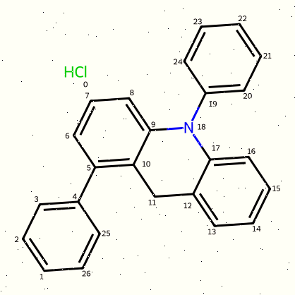 Cl.c1ccc(-c2cccc3c2Cc2ccccc2N3c2ccccc2)cc1